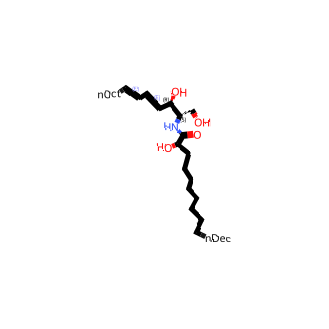 CCCCCCCC/C=C/C=C/[C@@H](O)[C@H](CO)NC(=O)C(O)CCCCCCCCCCCCCCCCCC